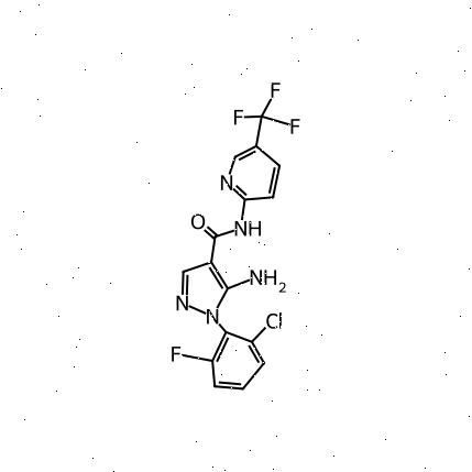 Nc1c(C(=O)Nc2ccc(C(F)(F)F)cn2)cnn1-c1c(F)cccc1Cl